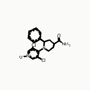 NC(=O)C1CCN(c2c(Cl)c[n+]([O-])cc2Cl)C(c2ccccc2)C1